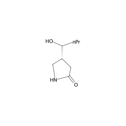 CCCC(O)[C@H]1CNC(=O)C1